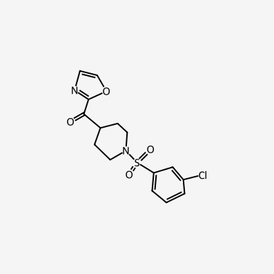 O=C(c1ncco1)C1CCN(S(=O)(=O)c2cccc(Cl)c2)CC1